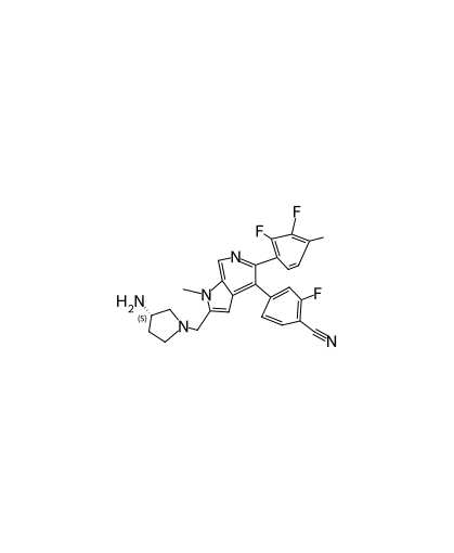 Cc1ccc(-c2ncc3c(cc(CN4CC[C@H](N)C4)n3C)c2-c2ccc(C#N)c(F)c2)c(F)c1F